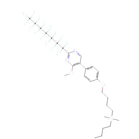 CCCC[Si](C)(C)CCCCOc1ccc(-c2cnc(C(F)(F)C(F)(F)C(F)(F)C(F)(F)C(F)(F)C(F)(F)C(F)(F)F)nc2OC)cc1